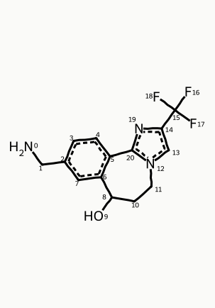 NCc1ccc2c(c1)C(O)CCn1cc(C(F)(F)F)nc1-2